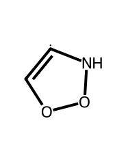 [C]1=COON1